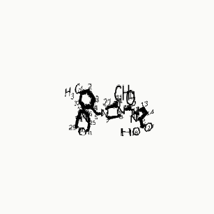 Cc1ccc(CN2CCN(C(=O)n3ccc(C(=O)O)n3)[C@H](C)C2)c(N2C3CCC2COC3)c1